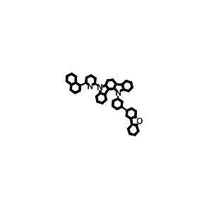 c1cc(-c2ccc3oc4ccccc4c3c2)cc(-n2c3ccccc3c3ccc4c(c5ccccc5n4-c4cccc(-c5cccc6ccccc56)n4)c32)c1